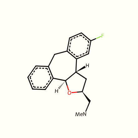 CNC[C@@H]1C[C@H]2c3cc(F)ccc3Cc3ccccc3[C@@H]2O1